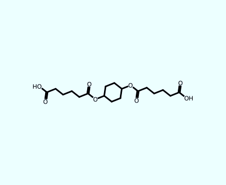 O=C(O)CCCCC(=O)OC1CCC(OC(=O)CCCCC(=O)O)CC1